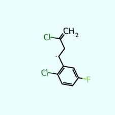 C=C(Cl)C[CH]c1cc(F)ccc1Cl